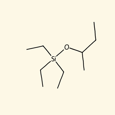 CCC(C)O[Si](CC)(CC)CC